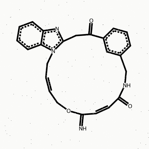 N=C1/C=C\C(=O)NCc2cccc(c2)C(=O)Cc2nc3ccccc3n2C/C=C\CO1